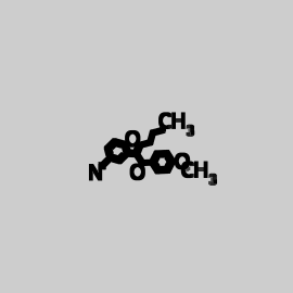 CCCCc1oc2ccc(C#N)cc2c1C(=O)c1ccc(OC)cc1